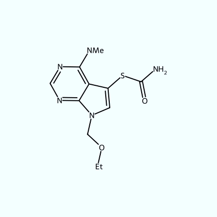 CCOCn1cc(SC(N)=O)c2c(NC)ncnc21